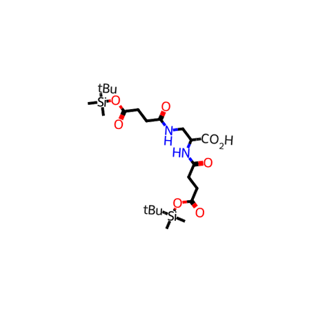 CC(C)(C)[Si](C)(C)OC(=O)CCC(=O)NCC(NC(=O)CCC(=O)O[Si](C)(C)C(C)(C)C)C(=O)O